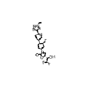 C=Cn1nnc(-c2ccc(-c3ccc(N4C[C@H](C(O)C(F)F)OC4=O)cc3F)cn2)n1